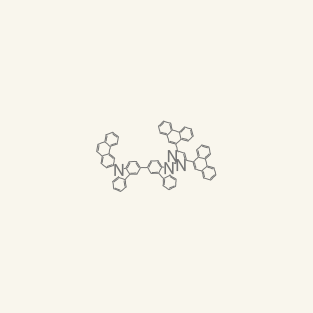 c1ccc2c(c1)ccc1ccc(-n3c4ccccc4c4cc(-c5ccc6c(c5)c5ccccc5n6-c5nc(-c6cc7ccccc7c7ccccc67)cc(-c6cc7ccccc7c7ccccc67)n5)ccc43)cc12